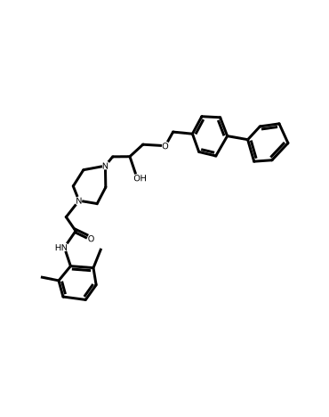 Cc1cccc(C)c1NC(=O)CN1CCN(CC(O)COCc2ccc(-c3ccccc3)cc2)CC1